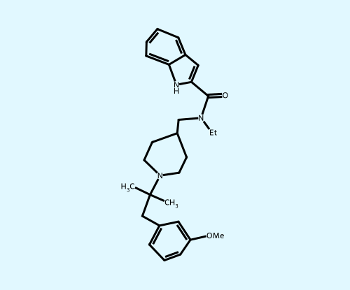 CCN(CC1CCN(C(C)(C)Cc2cccc(OC)c2)CC1)C(=O)c1cc2ccccc2[nH]1